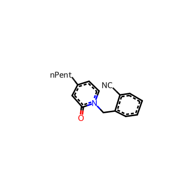 CCCCCc1ccn(Cc2ccccc2C#N)c(=O)c1